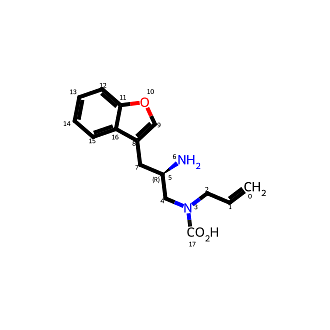 C=CCN(C[C@H](N)Cc1coc2ccccc12)C(=O)O